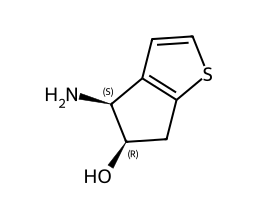 N[C@H]1c2ccsc2C[C@H]1O